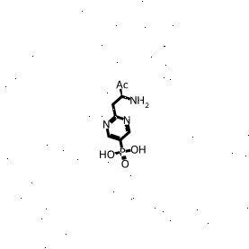 CC(=O)[C@@H](N)Cc1ncc(P(=O)(O)O)cn1